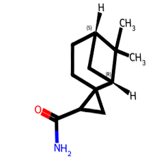 CC1(C)[C@H]2CCC3(CC3C(N)=O)[C@@H]1C2